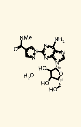 CNC(=O)c1cnn(-c2nc(N)c3ncn([C@@H]4O[C@H](CO)C(O)C4O)c3n2)c1.O